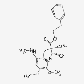 CNc1cc(OC)c(OC)cc1CC(C)(C(N)=O)C(=O)OCCc1ccccc1